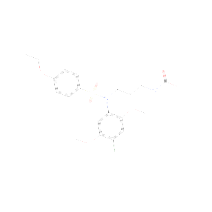 CCOc1ccc(S(=O)(=O)N(CCCNC(=O)O)c2cc(OC)c(Cl)cc2OC)cc1